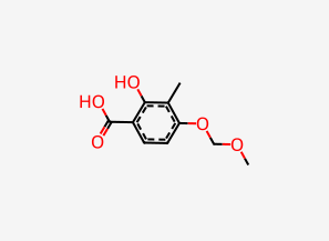 COCOc1ccc(C(=O)O)c(O)c1C